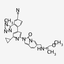 COC[C@H](C)NCc1ccc2cn(-c3cc(-c4ccc(C#N)cc4-c4nncn4C)cc(C4CC4)n3)c(=O)n2c1